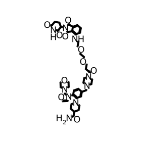 NC(=O)C1CCN(c2cc(CN3CCN(C(=O)CCOCCOCCNc4cccc5c4C(=O)N(C4CCC(=O)NC4=O)C5=O)CC3)ccc2N2C=COC2N2CCOCC2)CC1